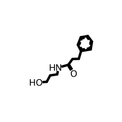 O=C(CCc1ccccc1)NCCCO